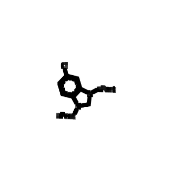 CCCCCN1CN(CCCCC)c2cc(Cl)ccc21